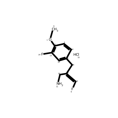 COc1ccc(C/C(=C/F)CN)cc1F.Cl